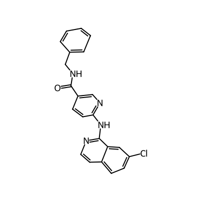 O=C(NCc1ccccc1)c1ccc(Nc2nccc3ccc(Cl)cc23)nc1